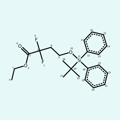 CCOC(=O)C(F)(F)CCO[Si](c1ccccc1)(c1ccccc1)C(C)(C)C